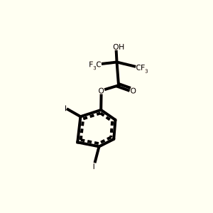 O=C(Oc1ccc(I)cc1I)C(O)(C(F)(F)F)C(F)(F)F